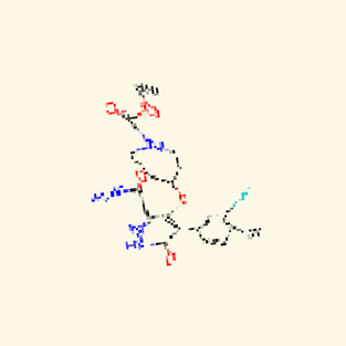 CC(C)(C)OC(=O)N1CCC(Oc2c(C(N)=O)n[nH]c(=O)c2-c2ccc(C#N)c(F)c2)CC1